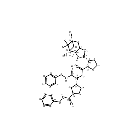 CC1(C)[C@H]2CC3OB([C@@H]4CCCN4C(=O)CN(C(=O)OCc4ccccc4)[C@@H]4CCN(C(=O)OCc5ccccc5)C4)O[C@@]3(C)[C@@H]1C2